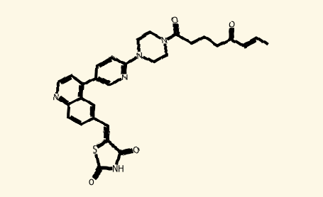 C/C=C/C(=O)CCCC(=O)N1CCN(c2ccc(-c3ccnc4ccc(/C=C5\SC(=O)NC5=O)cc34)cn2)CC1